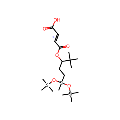 CC(C)(C)C(CC[Si](C)(O[Si](C)(C)C)O[Si](C)(C)C)OC(=O)/C=C/C(=O)O